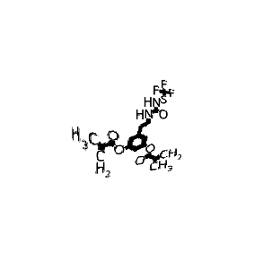 C=C(C)C(=O)Oc1cc(CCNC(=O)NSC(F)(F)F)cc(OC(=O)C(=C)C)c1